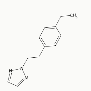 CCc1ccc(CCn2nccn2)cc1